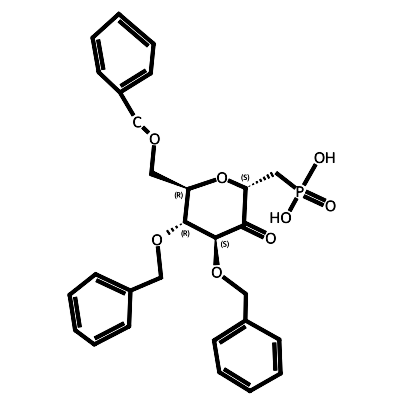 O=C1[C@@H](OCc2ccccc2)[C@H](OCc2ccccc2)[C@@H](COCc2ccccc2)O[C@@H]1CP(=O)(O)O